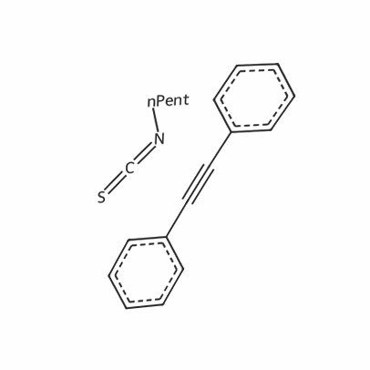 C(#Cc1ccccc1)c1ccccc1.CCCCCN=C=S